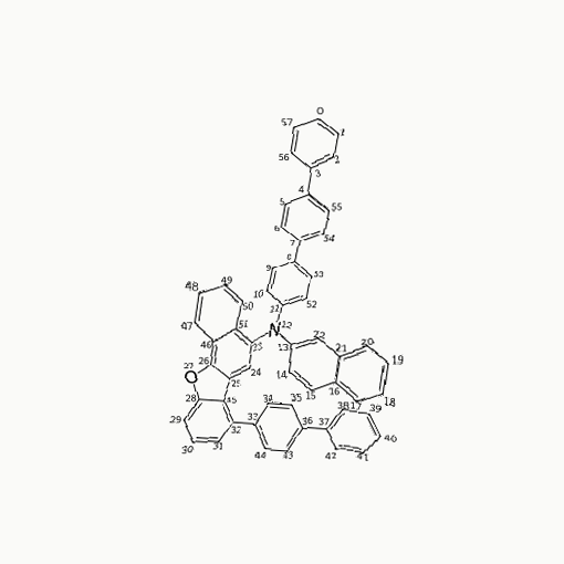 c1ccc(-c2ccc(-c3ccc(N(c4ccc5ccccc5c4)c4cc5c(oc6cccc(-c7ccc(-c8ccccc8)cc7)c65)c5ccccc45)cc3)cc2)cc1